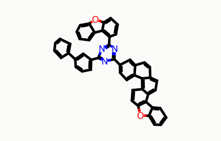 c1ccc(-c2cccc(-c3nc(-c4ccc5c(ccc6ccc7c(ccc8oc9ccccc9c87)c65)c4)nc(-c4cccc5oc6ccccc6c45)n3)c2)cc1